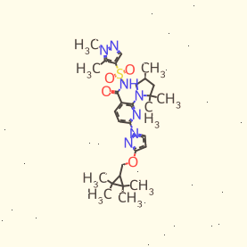 Cc1c(S(=O)(=O)NC(=O)c2ccc(-n3ccc(OCC4C(C)(C)C4(C)C)n3)nc2N2C[C@@H](C)CC2(C)C)cnn1C